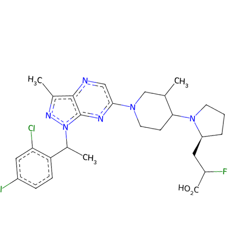 Cc1nn(C(C)c2ccc(Cl)cc2Cl)c2nc(N3CCC(N4CCC[C@H]4CC(F)C(=O)O)C(C)C3)cnc12